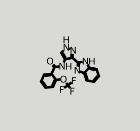 O=C(Nc1c[nH]nc1-c1nc2ccccc2[nH]1)c1ccccc1OC(F)(F)F